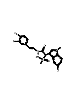 Cn1cc(C(C(=O)N/C=C/c2ccc([18F])c(F)c2)P(C)(=O)O)c2cc(Cl)ccc21